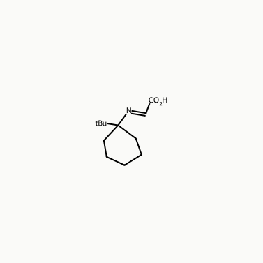 CC(C)(C)C1(N=CC(=O)O)CCCCC1